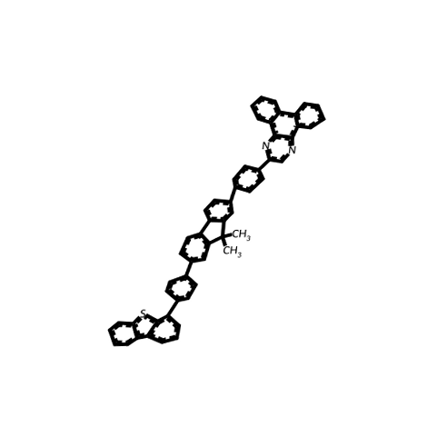 CC1(C)c2cc(-c3ccc(-c4cnc5c6ccccc6c6ccccc6c5n4)cc3)ccc2-c2ccc(-c3ccc(-c4cccc5c4sc4ccccc45)cc3)cc21